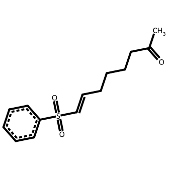 CC(=O)CCCCC=CS(=O)(=O)c1ccccc1